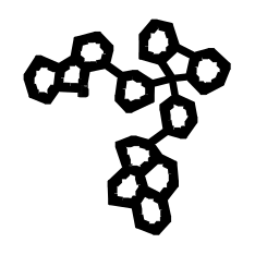 c1cc(-c2ccc3ccc4cccc5ccc2c3c45)cc(C2(c3cccc(-c4cccc5c4sc4ccccc45)c3)c3ccccc3-c3ccccc32)c1